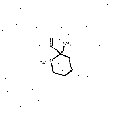 C=CC1([SiH3])CCCCO1.[Pd]